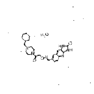 O.O=C(CON=Cc1ccc2nc3[nH]c(=O)[nH]c3cc2c1)N1CCN(CC2CCCCC2)CC1